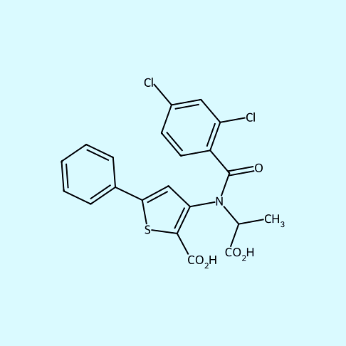 CC(C(=O)O)N(C(=O)c1ccc(Cl)cc1Cl)c1cc(-c2ccccc2)sc1C(=O)O